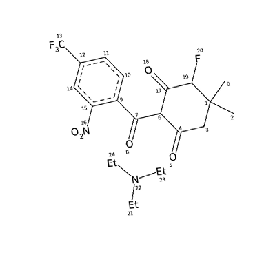 CC1(C)CC(=O)C(C(=O)c2ccc(C(F)(F)F)cc2[N+](=O)[O-])C(=O)C1F.CCN(CC)CC